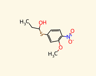 CCC(O)Sc1ccc([N+](=O)[O-])c(OC)c1